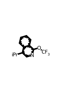 CC(C)c1cnc(OC(F)(F)F)c2ccccc12